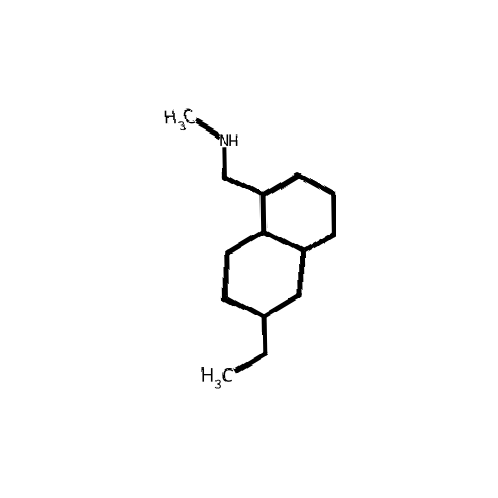 CCC1CCC2C(CNC)CCCC2C1